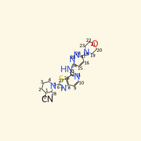 N#CC1CCCN(c2nc3ccnc(Nc4ccc(N5CCOCC5)nn4)c3s2)C1